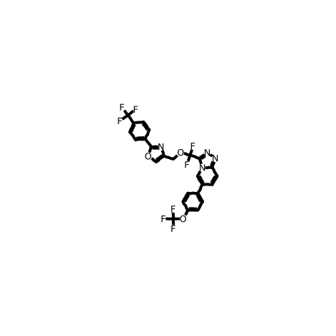 FC(F)(F)Oc1ccc(-c2ccc3nnc(C(F)(F)OCc4coc(-c5ccc(C(F)(F)F)cc5)n4)n3c2)cc1